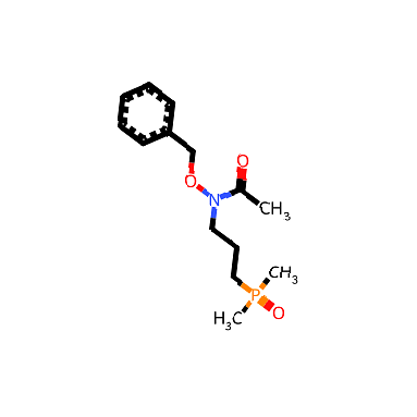 CC(=O)N(CCCP(C)(C)=O)OCc1ccccc1